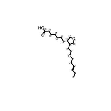 CCC=CCCOCC[C@@H]1COC[C@@H]1CCCCCCC(=O)O